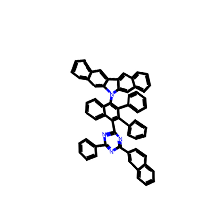 c1ccc(-c2nc(-c3ccc4ccccc4c3)nc(-c3c(-c4ccccc4)c(-c4ccccc4)c(-n4c5cc6ccccc6cc5c5cc6ccccc6cc54)c4ccccc34)n2)cc1